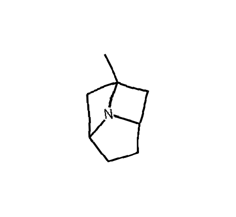 CC12CC3CCC(C1)N32